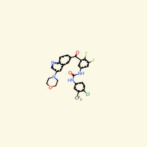 O=C(Nc1cc(F)c(F)c(C(=O)c2ccc3ncc(N4CCOCC4)cc3c2)c1)Nc1ccc(Cl)c(C(F)(F)F)c1